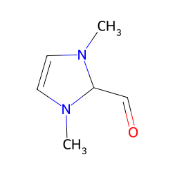 CN1C=CN(C)C1C=O